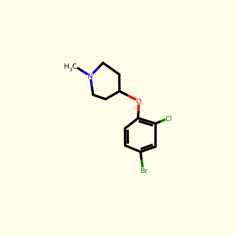 CN1CCC(Oc2ccc(Br)cc2Cl)CC1